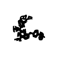 CCOC(=O)c1sc(Nc2nc(N(C)C)c3c(n2)N(Cc2ccc(S(C)(=O)=O)cc2)CC3)nc1C